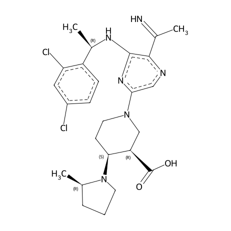 CC(=N)c1ncc(N2CC[C@H](N3CCC[C@H]3C)[C@H](C(=O)O)C2)nc1N[C@H](C)c1ccc(Cl)cc1Cl